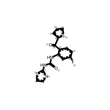 O=C(Nc1nccs1)Nc1cc(F)ccc1C(=O)c1cccs1